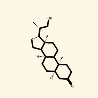 C[C@H](CO)[C@H]1CCC2[C@@H]3CC[C@@H]4CC(=O)CC[C@]4(C)C3CC[C@@]21C